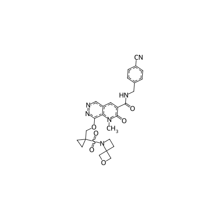 Cn1c(=O)c(C(=O)NCc2ccc(C#N)cc2)cc2cnnc(OCC3(S(=O)(=O)N4CCC45COC5)CC3)c21